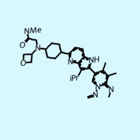 C=Nn1cc(-c2[nH]c3ccc(C4CCC(N(CC(=O)NC)C5COC5)CC4)nc3c2C(C)C)c(C)c(C)/c1=N/C